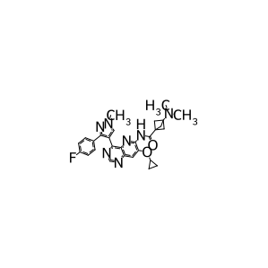 CN(C)C12CC(C(=O)Nc3nc4c(-c5cn(C)nc5-c5ccc(F)cc5)ncnc4cc3OC3CC3)(C1)C2